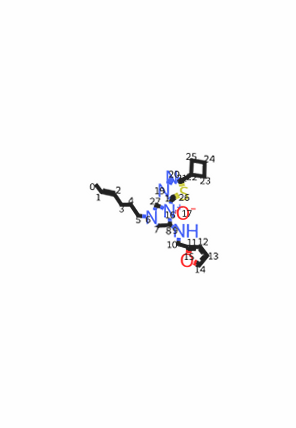 CC=CCCCN1CC(NCc2ccco2)[N+]([O-])(c2nnc(C3CCC3)s2)C1